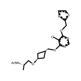 CC(=O)N[C@@H](C)CO[C@H]1C[C@H](COc2ncnc(OCc3nccs3)c2Cl)C1